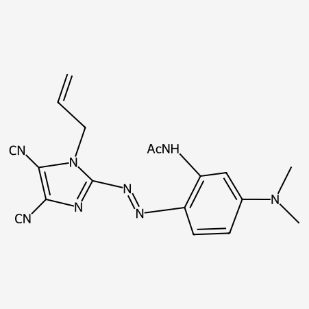 [C-]#[N+]c1nc(N=Nc2ccc(N(C)C)cc2NC(C)=O)n(CC=C)c1[N+]#[C-]